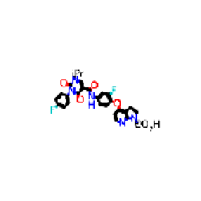 CC(C)n1cc(C(=O)Nc2ccc(Oc3ccnc4c3CCN4C(=O)O)c(F)c2)c(=O)n(-c2ccc(F)cc2)c1=O